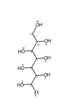 CCC(O)C(O)C(O)C(O)C(O)C(O)CO